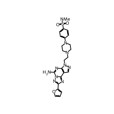 CNS(=O)(=O)c1ccc(N2CCN(CCn3ncc4c3nc(N)n3nc(-c5ccco5)nc43)CC2)cc1